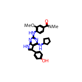 CNC(=O)c1ccc(Nc2nc(NC3CCCC3)c3c(-c4ccc(O)cc4)c[nH]c3n2)c(OC)c1